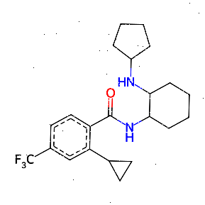 O=C(NC1CCCCC1NC1CCCC1)c1ccc(C(F)(F)F)cc1C1CC1